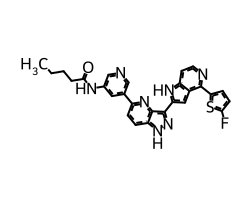 CCCCC(=O)Nc1cncc(-c2ccc3[nH]nc(-c4cc5c(-c6ccc(F)s6)nccc5[nH]4)c3n2)c1